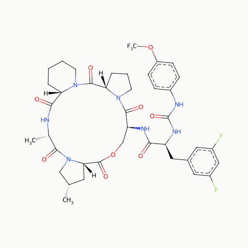 C[C@H]1C[C@H]2C(=O)OC[C@H](NC(=O)[C@H](Cc3cc(F)cc(F)c3)NC(=O)Nc3ccc(OC(F)(F)F)cc3)C(=O)N3CCC[C@H]3C(=O)N3CCCC[C@H]3C(=O)N[C@@H](C)C(=O)N2C1